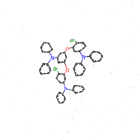 Brc1ccc(N(c2ccccc2)c2ccccc2)cc1Oc1cc(Oc2cc(N(c3ccccc3)c3ccccc3)ccc2Br)cc(N(c2ccccc2)c2ccccc2)c1